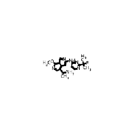 COc1ncc([C@H](C)N)c2cc(Nc3ccnc(C(C)(C)F)n3)ncc12